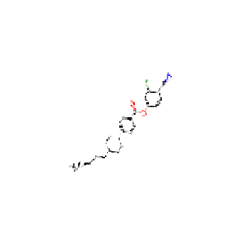 CCCC[C@H]1CC[C@H](c2ccc(C(=O)Oc3ccc(C#N)c(F)c3)cc2)CC1